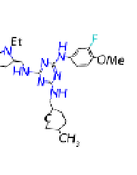 CCN1CCCC1CNc1nc(NCC2CCC(C)CC2)nc(Nc2ccc(OC)c(F)c2)n1